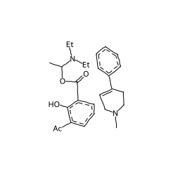 CCN(CC)C(C)OC(=O)c1cccc(C(C)=O)c1O.CN1CC=C(c2ccccc2)CC1